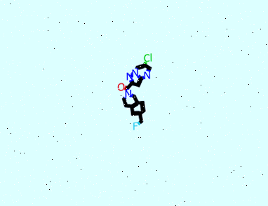 O=C(c1cc2ncc(Cl)cn2n1)N1CCc2cc(CF)ccc2C1